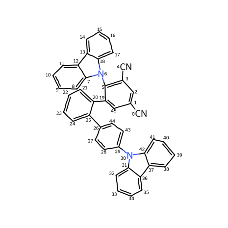 N#Cc1cc(C#N)c(-n2c3ccccc3c3ccccc32)c(-c2ccccc2-c2ccc(-n3c4ccccc4c4ccccc43)cc2)c1